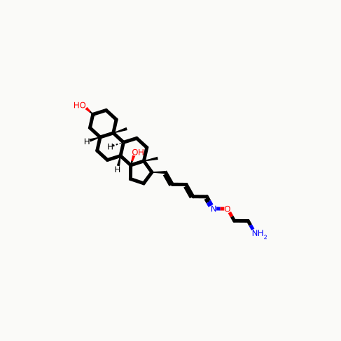 C[C@]12CC[C@H](O)C[C@H]1CC[C@@H]1[C@@H]2CC[C@]2(C)[C@@H](/C=C/C=C/C=N/OCCN)CC[C@]12O